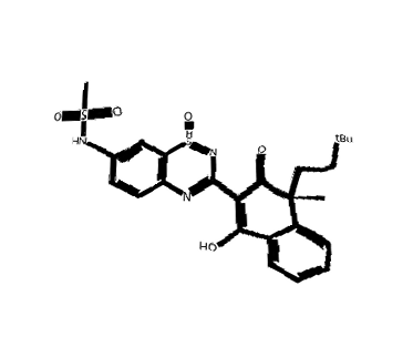 CC(C)(C)CC[C@@]1(C)C(=O)C(C2=Nc3ccc(NS(C)(=O)=O)cc3[SH](=O)=N2)=C(O)c2ccccc21